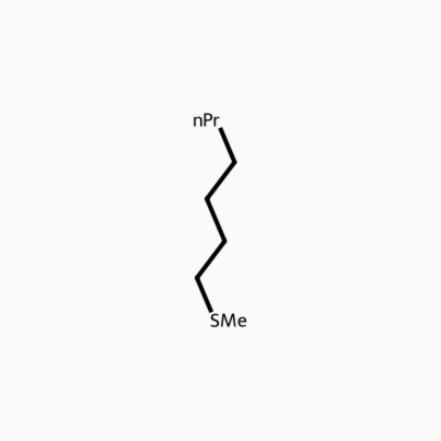 CCCCCCCSC